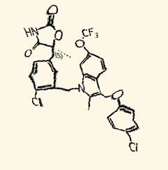 Cc1c(Oc2ccc(Cl)cc2)c2ccc(OC(F)(F)F)cc2n1Cc1cc([C@]2(C)OC(=O)NC2=O)ccc1Cl